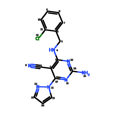 N#Cc1c(NCc2ccccc2Cl)nc(N)nc1-n1cccn1